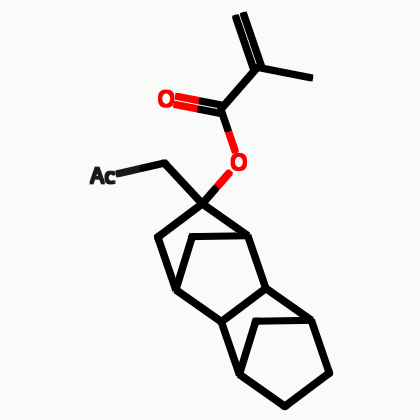 C=C(C)C(=O)OC1(CC(C)=O)CC2CC1C1C3CCC(C3)C21